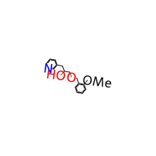 COc1ccccc1COCC(O)Cc1cccnc1